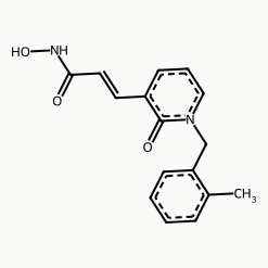 Cc1ccccc1Cn1cccc(/C=C/C(=O)NO)c1=O